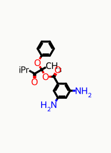 CC(C)C(=O)C(C)(OC(=O)c1cc(N)cc(N)c1)Oc1ccccc1